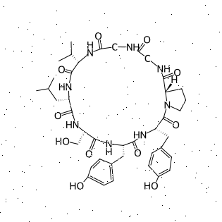 CC(C)C[C@@H]1NC(=O)[C@H](C(C)C)NC(=O)CNC(=O)CNC(=O)[C@@H]2CCCN2C(=O)[C@H](Cc2ccc(O)cc2)NC(=O)[C@H](Cc2ccc(O)cc2)NC(=O)[C@H](CO)NC1=O